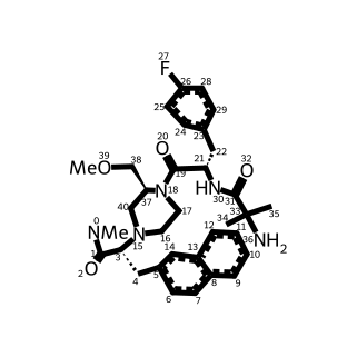 CNC(=O)[C@@H](Cc1ccc2ccccc2c1)N1CCN(C(=O)[C@H](Cc2ccc(F)cc2)NC(=O)C(C)(C)N)[C@H](COC)C1